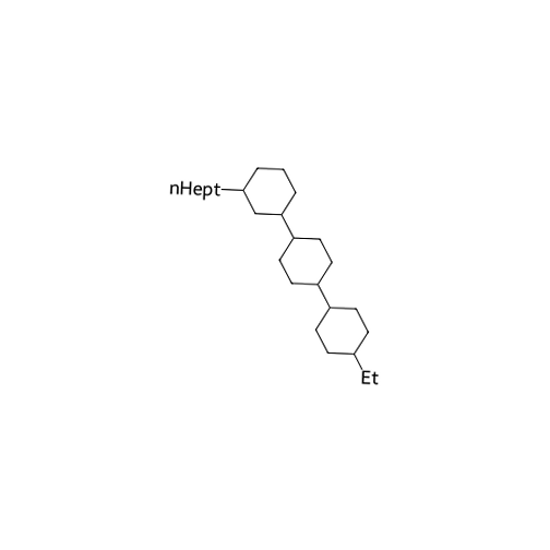 CCCCCCCC1CCCC(C2CCC(C3CCC(CC)CC3)CC2)C1